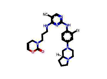 CCc1cc(N2CCN3CCC[C@H]3C2)ccc1Nc1ncc(C#N)c(NCCCN2CC=COC2=O)n1